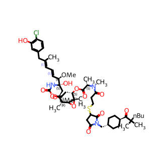 CCCCC(C)(C)C(=O)[C@H]1CC[C@H](CN2C(=O)CC(SCCC(=O)N(C)[C@@H](C)C(=O)O[C@@H](CC(=O)NC)[C@]3(C)OC3[C@H](C)[C@@H]3C[C@](O)([C@@H](/C=C/C=C(\C)Cc4ccc(Cl)c(O)c4)OC)NC(=O)O3)C2=O)CC1